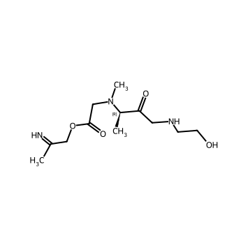 CC(=N)COC(=O)CN(C)[C@H](C)C(=O)CNCCO